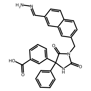 NN=Cc1ccc2ccc(CN3C(=O)NC(c4ccccc4)(c4cccc(C(=O)O)c4)C3=O)cc2c1